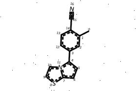 Cc1cc(-c2ccc3sccn23)ccc1C#N